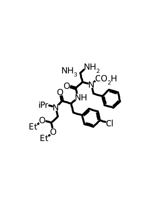 CCOC(CN(C(=O)C(Cc1ccc(Cl)cc1)NC(=O)C(CN)N(Cc1ccccc1)C(=O)O)C(C)C)OCC.N